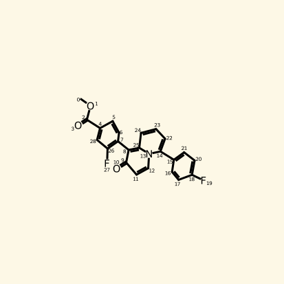 COC(=O)c1ccc(-c2c(=O)ccn3c(-c4ccc(F)cc4)cccc23)c(F)c1